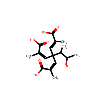 CC(=CC(C=C(C)C(=O)O)(C=C(C)C(=O)O)C(C)C(C)O)C(=O)O